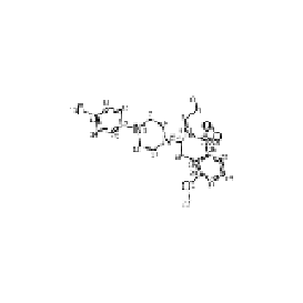 CCCN1C(N2CCN(c3ccc(F)cc3)CC2)Cc2c(OC)cccc2S1(=O)=O